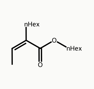 CC=C(CCCCCC)C(=O)OCCCCCC